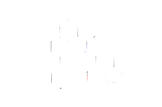 Cc1cc([C@@H](C)Nc2ccc3cn[nH]c3c2C(=O)O)c2oc(N3CCC(C)(C)CC3)cc(=O)c2c1